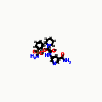 NC(=O)c1cncc(NC(=O)C(=O)N2CCCC[C@H]2c2cccc(S(N)(=O)=O)c2)c1